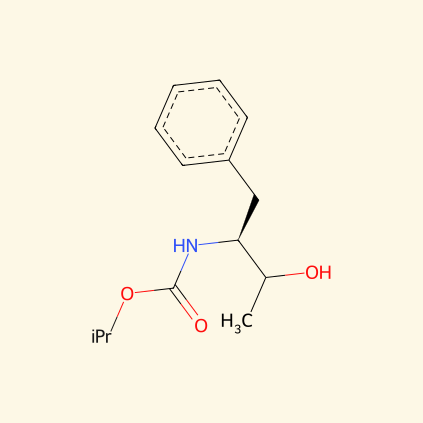 CC(C)OC(=O)N[C@@H](Cc1ccccc1)C(C)O